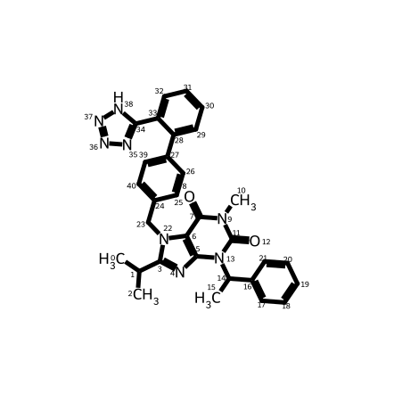 CC(C)c1nc2c(c(=O)n(C)c(=O)n2C(C)c2ccccc2)n1Cc1ccc(-c2ccccc2-c2nnn[nH]2)cc1